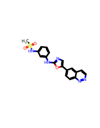 CS(=O)(=O)Nc1cccc(Nc2ncc(-c3ccc4nnccc4c3)o2)c1